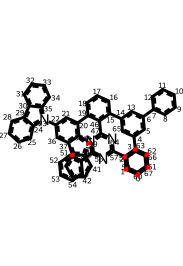 c1ccc(-c2cc(-c3ccccc3)cc(-c3cccc(-c4cc(-n5c6ccccc6c6ccccc65)cc5c4sc4ccccc45)c3-c3nc(-c4ccccc4)nc(-c4ccccc4)n3)c2)cc1